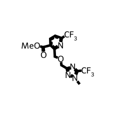 COC(=O)c1ccc(C(F)(F)F)nc1COCc1nc(C(F)(F)F)n(C)n1